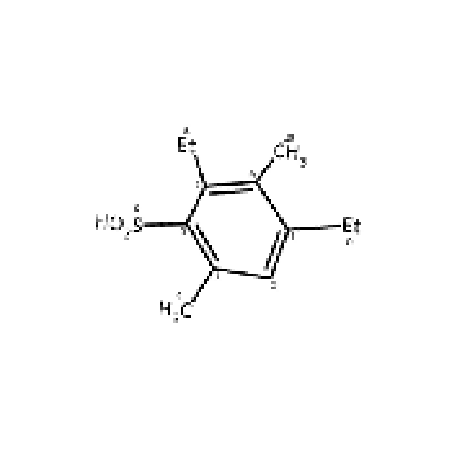 CCc1cc(C)c(S(=O)(=O)O)c(CC)c1C